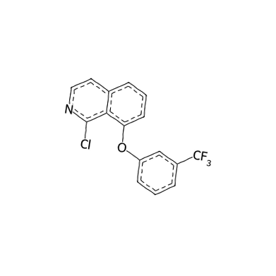 FC(F)(F)c1cccc(Oc2cccc3ccnc(Cl)c23)c1